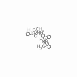 COC1CC=CC=C1CN1N=NNC1c1ccccc1-c1ccc(CN[C@H](C(=O)OCc2ccccc2)C(C)C)cc1